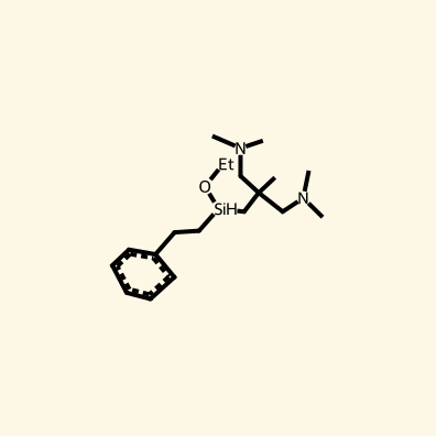 CCO[SiH](CCc1ccccc1)CC(C)(CN(C)C)CN(C)C